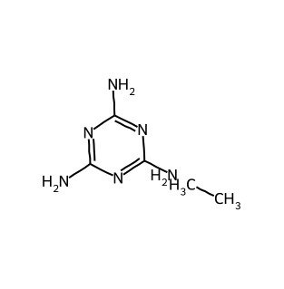 CC.Nc1nc(N)nc(N)n1